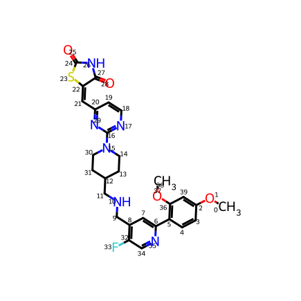 COc1ccc(-c2cc(CNCC3CCN(c4nccc(C=C5SC(=O)NC5=O)n4)CC3)c(F)cn2)c(OC)c1